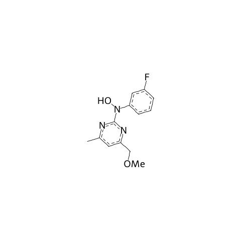 COCc1cc(C)nc(N(O)c2cccc(F)c2)n1